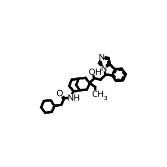 CCC1(C(O)CC2c3ccccc3-c3cncn32)CC2CCC(NC(=O)CC3CCCCC3)C(C2)C1